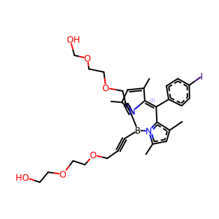 CC1=CC(C)=N/C1=C(/c1ccc(I)cc1)c1c(C)cc(C)n1B(C#CCOCCOCO)C#CCOCCOCCO